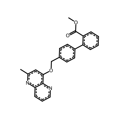 COC(=O)c1ccccc1-c1ccc(COc2cc(C)nc3cccnc23)cc1